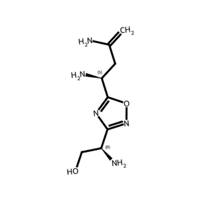 C=C(N)C[C@H](N)c1nc([C@@H](N)CO)no1